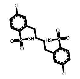 O=S(=O)(S)c1ccc(Cl)cc1CCCCc1cc(Cl)ccc1S(=O)(=O)S